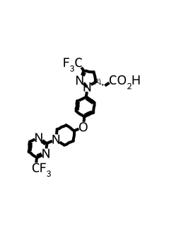 O=C(O)C[C@H]1CC(C(F)(F)F)=NN1c1ccc(OC2CCN(c3nccc(C(F)(F)F)n3)CC2)cc1